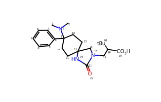 CN(C)C1(c2ccccc2)CCC2(CC1)CN(CC(C(=O)O)C(C)(C)C)C(=O)N2